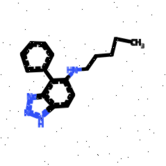 CCCCCNc1ccc2[nH]nnc2c1-c1ccccc1